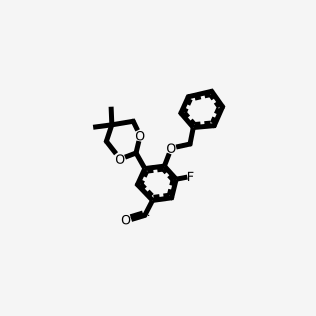 CC1(C)COC(c2cc([C]=O)cc(F)c2OCc2ccccc2)OC1